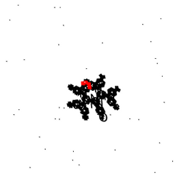 COc1ccc(-c2nc(-c3cc(-n4c5ccc(C(C)C)cc5c5cc(C(C)C)ccc54)cc(-n4c5ccc(C(C)C)cc5c5cc(C(C)(C)C)ccc54)c3)nc(-c3cc(-n4c5ccc(C(C)(C)C)cc5c5cc(C(C)(C)C)ccc54)cc(-n4c5ccc(C(C)(C)C)cc5c5cc(C(C)(C)C)ccc54)c3)n2)cc1